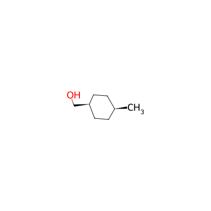 C[C@H]1CC[C@@H](CO)CC1